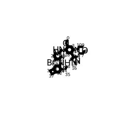 COc1cc(N2CCOCC2)c(-c2cnn(C)c2)cc1Nc1ncc(Br)c(Nc2cc3c(cc2P(C)C)CC3)n1